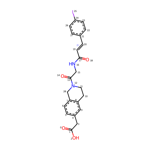 O=C(O)Cc1ccc2c(c1)CCN(C(=O)CNC(=O)/C=C/c1ccc(I)cc1)C2